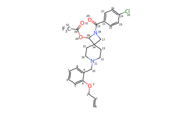 C=CCOc1ccccc1CN1CCC2(CC1)CN(C(=O)c1ccc(Cl)cc1)C2OC(=O)C(F)(F)F